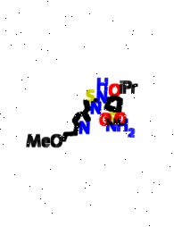 COCCCc1ccc(-c2csc(Nc3cc(S(N)(=O)=O)ccc3OC(C)C)n2)cn1